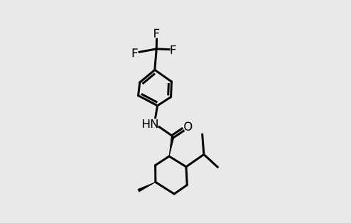 CC(C)C1CC[C@@H](C)C[C@H]1C(=O)Nc1ccc(C(F)(F)F)cc1